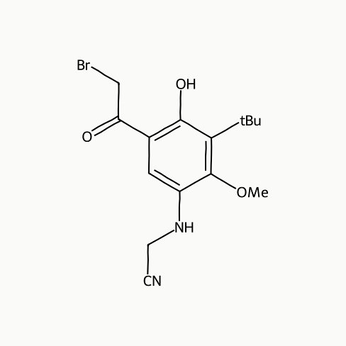 COc1c(NCC#N)cc(C(=O)CBr)c(O)c1C(C)(C)C